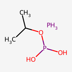 CC(C)OP(O)O.P